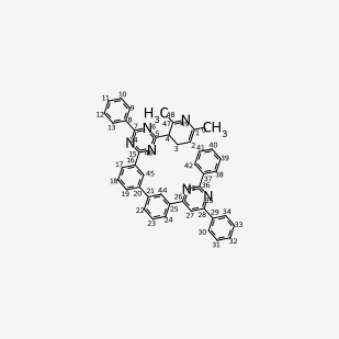 CC1=CCC(c2nc(-c3ccccc3)nc(-c3cccc(-c4cccc(-c5cc(-c6ccccc6)nc(-c6ccccc6)n5)c4)c3)n2)C(C)=N1